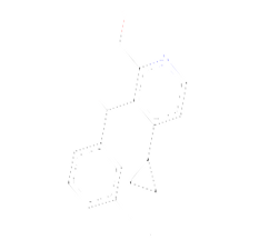 O=C(O)c1cccc(C(O)c2c(C3CC3)ccnc2CO)c1